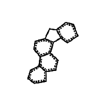 c1ccc2c(c1)Cc1ccc3c(ccc4ccccc43)c1-2